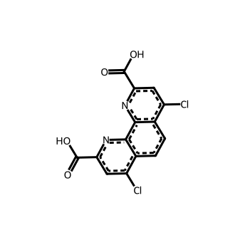 O=C(O)c1cc(Cl)c2ccc3c(Cl)cc(C(=O)O)nc3c2n1